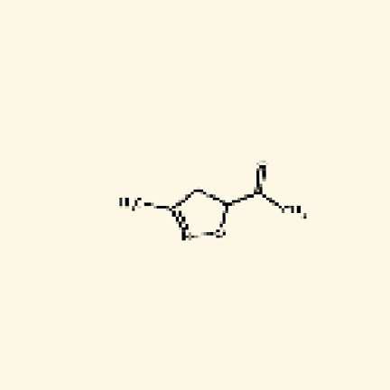 CC(=O)C1CC(C)=NO1